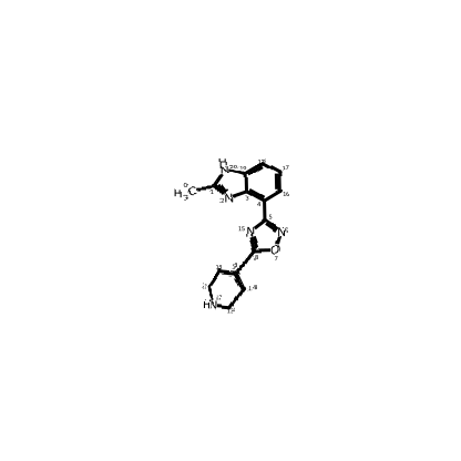 Cc1nc2c(-c3noc(C4CCNCC4)n3)cccc2[nH]1